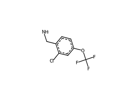 [NH]Cc1ccc(OC(F)(F)F)cc1Cl